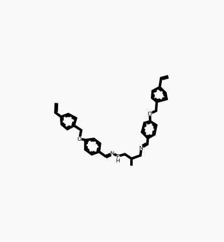 C=Cc1ccc(COc2ccc(/C=N/CC(C)CP/N=C/c3ccc(OCc4ccc(C=C)cc4)cc3)cc2)cc1